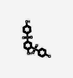 O=S(=O)(c1ccc(O)cc1)c1ccc(O)c(S(=O)(=O)c2ccc(Cl)cc2)c1